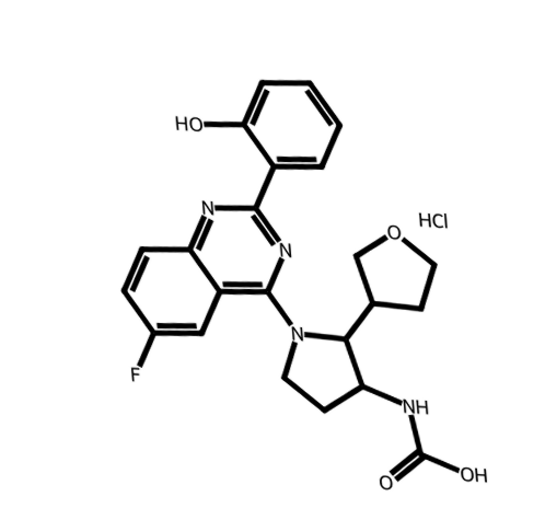 Cl.O=C(O)NC1CCN(c2nc(-c3ccccc3O)nc3ccc(F)cc23)C1C1CCOC1